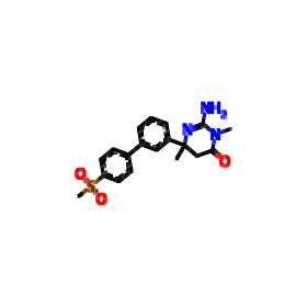 CN1C(=O)CC(C)(c2cccc(-c3ccc(S(C)(=O)=O)cc3)c2)N=C1N